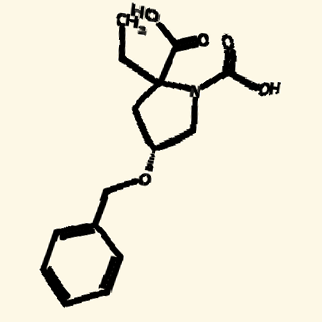 CCC1(C(=O)O)C[C@@H](OCc2ccccc2)CN1C(=O)O